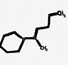 CCCCN(C)N1CCCCC1